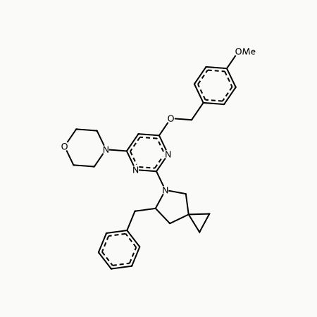 COc1ccc(COc2cc(N3CCOCC3)nc(N3CC4(CC4)CC3Cc3ccccc3)n2)cc1